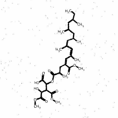 CCC(C)CC(C)CC(C)CC(C)C=C(C)C=C(CC(C)C(=O)OC(C(=O)O)C(C(=O)OC)C(O)C(=O)OC)C(=O)OC